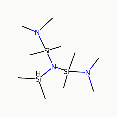 CN(C)[Si](C)(C)N([SiH](C)C)[Si](C)(C)N(C)C